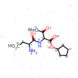 COC(=O)C(NC(=O)C(N)CC(=O)O)C(=O)OC1CCCC1